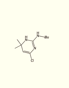 CCC(C)NC1=NC(Cl)=CC(C)(C)N1